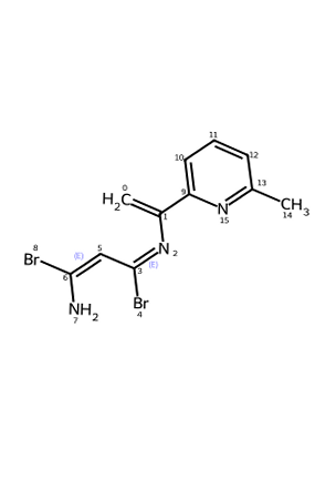 C=C(/N=C(Br)\C=C(/N)Br)c1cccc(C)n1